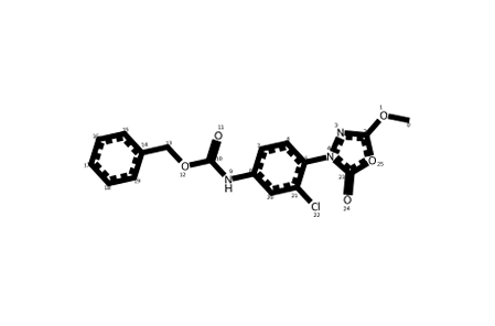 COc1nn(-c2ccc(NC(=O)OCc3ccccc3)cc2Cl)c(=O)o1